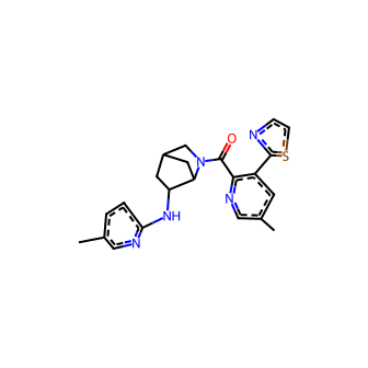 Cc1ccc(NC2CC3CC2N(C(=O)c2ncc(C)cc2-c2nccs2)C3)nc1